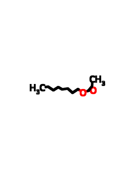 CCCCCCCCOC1OC1C